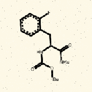 CNC(=O)C(Cc1ccccc1F)NC(=O)OC(C)(C)C